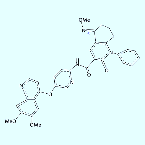 CO/N=C1\CCCc2c1cc(C(=O)Nc1ccc(Oc3ccnc4cc(OC)c(OC)cc34)cn1)c(=O)n2-c1ccccc1